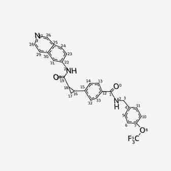 O=C(NCc1ccc(OC(F)(F)F)cc1)c1ccc(C2CC2C(=O)Nc2ccc3cnccc3c2)cc1